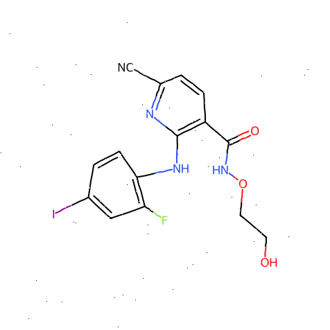 N#Cc1ccc(C(=O)NOCCO)c(Nc2ccc(I)cc2F)n1